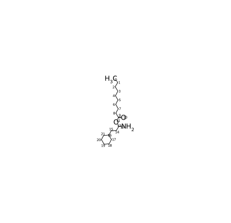 CCCCCCCCCC(=O)OC(N)CCC1CCCCC1